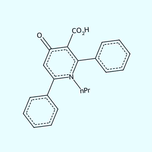 CCCn1c(-c2ccccc2)cc(=O)c(C(=O)O)c1-c1ccccc1